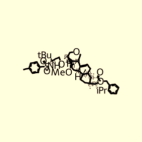 CO[C@@H]1C[C@@]23COC[C@@](C)([C@@H]2CC[C@H]2C3=CC[C@@]3(C)[C@H](C(=O)OCc4ccccc4)[C@@](C)([C@H](C)C(C)C)CC[C@]23C)[C@H]1OC[C@@H](NS(=O)(=O)c1ccc(C)cc1)C(C)(C)C